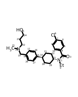 CCN(C(=O)c1ccc(Cl)cc1)[C@H]1CC[C@H](c2ccc(CN(C)CCCO)cc2)CC1